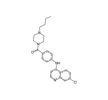 CCCCN1CCN(C(=O)c2ccc(Nc3ccnc4cc(Cl)ccc34)cc2)CC1